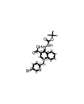 CC(C)(C)OC(=O)NN=c1c(C(=O)O)cn(Cc2ccc(Br)cn2)c2ccccc12